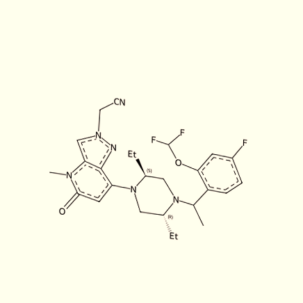 CC[C@H]1CN(C(C)c2ccc(F)cc2OC(F)F)[C@H](CC)CN1c1cc(=O)n(C)c2cn(CC#N)nc12